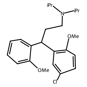 COc1ccccc1C(CCN(C(C)C)C(C)C)c1cc(Cl)ccc1OC